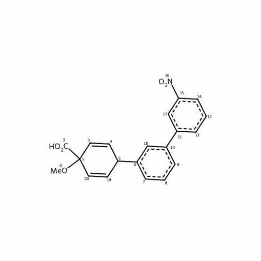 COC1(C(=O)O)C=CC(c2cccc(-c3cccc([N+](=O)[O-])c3)c2)C=C1